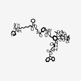 COC(=O)[C@H]1O[C@@H](Oc2ccc(COC(=O)Nc3cccc(C(=O)N(C)CCON(C(=O)CCCCCCN/C(=N\C#N)Nc4ccncc4)C4CCCCC4)c3)cc2NC(=O)CCNC(=O)OCC2c3ccccc3-c3ccccc32)[C@H](OC(C)=O)[C@@H](OC(C)=O)[C@@H]1OC(C)=O